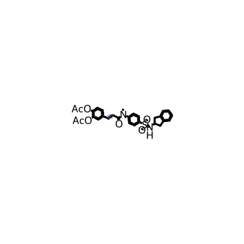 CC(=O)Oc1ccc(/C=C/C(=O)N(C)c2ccc(S(=O)(=O)NC3Cc4ccccc4C3)cc2)cc1OC(C)=O